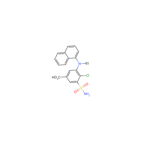 CCN(c1cc(C(=O)O)cc(S(N)(=O)=O)c1Cl)c1cccc2ccccc12